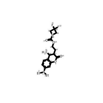 CCN(CC)c1ccc2c(c1)OC(=O)C(CCOC(=O)N1CC(F)(F)C1)C2C